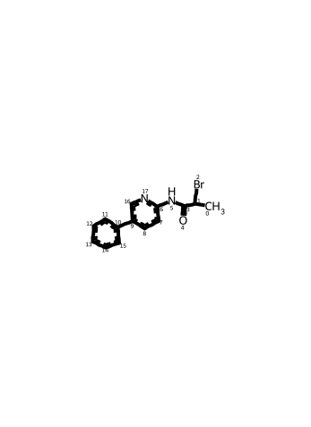 CC(Br)C(=O)Nc1ccc(-c2ccccc2)cn1